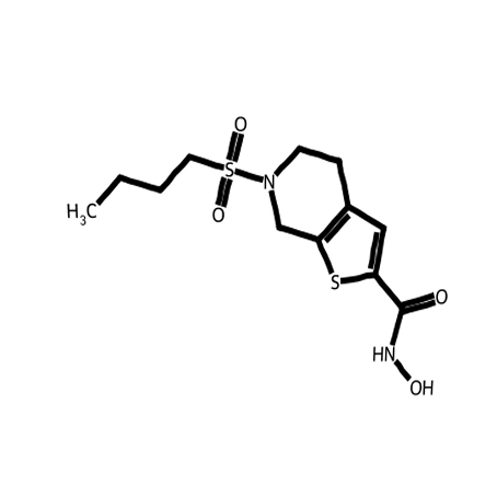 CCCCS(=O)(=O)N1CCc2cc(C(=O)NO)sc2C1